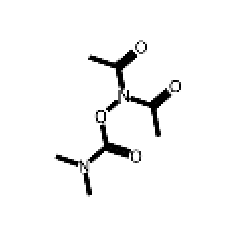 CC(=O)N(OC(=O)N(C)C)C(C)=O